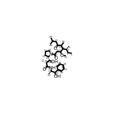 CC[C@H](C)C(C(CC(=O)N1CCC[C@H]1C(O)[C@@H](C)C(=O)N[C@H](C)C(O)c1ccccc1)OC)C(C)C(=O)CC(C)C